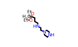 CCO[Si](C)(CCCNCCN1CCNCC1)OCC